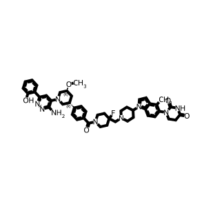 CO[C@@H]1C[C@H](c2ccc(C(=O)N3CCC(F)(CN4CCC(n5ccc6c(C)c(N7CCC(=O)NC7=O)ccc65)CC4)CC3)cc2)CN(c2cc(-c3ccccc3O)nnc2N)C1